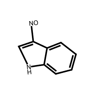 O=Nc1c[nH]c2ccccc12